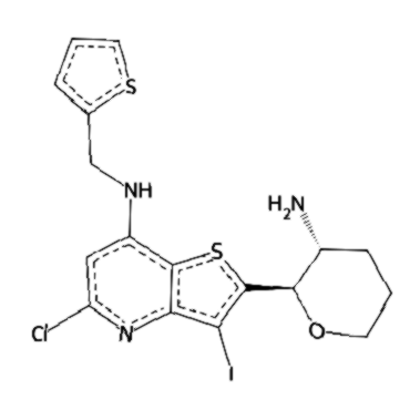 N[C@@H]1CCCO[C@H]1c1sc2c(NCc3cccs3)cc(Cl)nc2c1I